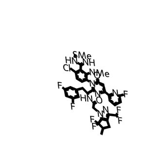 CNc1c(-n2c(C(Cc3cc(F)cc(F)c3)NC(=O)Cn3nc(C(F)F)c4c3C(F)(F)C(C)C4)nc(-c3cccc(F)n3)cc2=O)ccc(Cl)c1C(=N)NSC